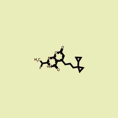 CC(F)c1nc2oc(=O)cc(CCCC3(C4CC4)CC3)c2c(=O)[nH]1